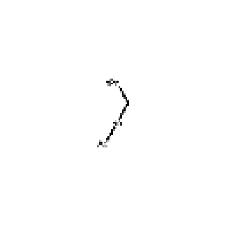 CCC[CH2][Ru][C](C)=O